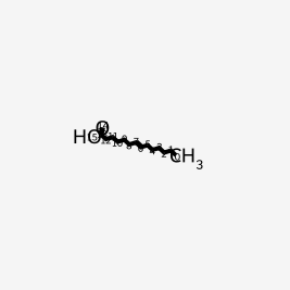 CCCCCC/C=C/CCCCCC(=O)O